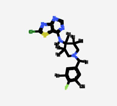 [2H]c1cc(C([2H])N2CC([2H])([2H])C([2H])(N([2H])c3ncnc4nc(Cl)sc34)C([2H])([2H])C2)cc(C#N)c1F